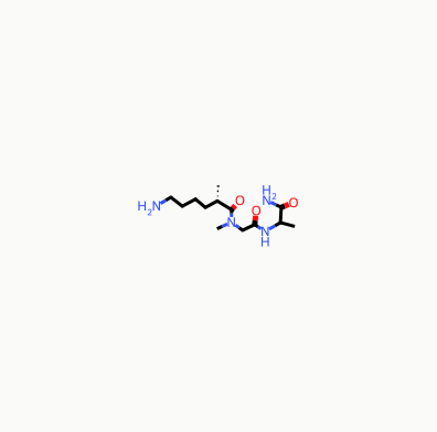 CC(NC(=O)CN(C)C(=O)[C@@H](C)CCCCN)C(N)=O